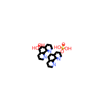 O=S(=O)(O)O.OO.c1cnc2c(c1)ccc1cccnc12.c1cnc2c(c1)ccc1cccnc12